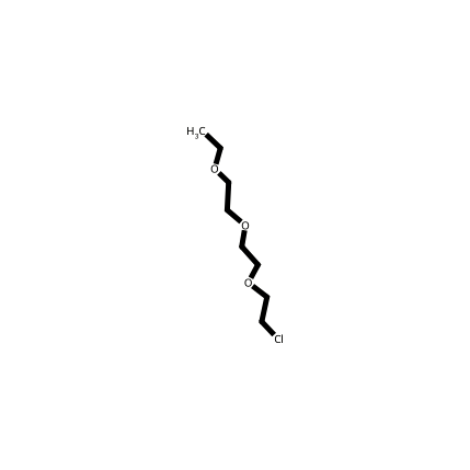 CCOCCOCCOCCCl